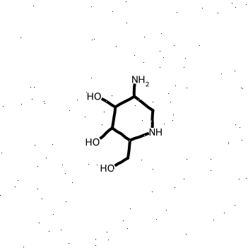 NC1CNC(CO)C(O)C1O